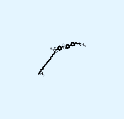 CCCCCCCCCCCCCCCCCCOC(C)c1ccc(C(=O)Oc2ccc(-c3ccc(CCCC)cc3)cc2)cc1